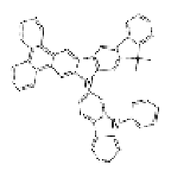 CC1(C)c2ccccc2-c2cc3c4cc5c6ccccc6c6ccccc6c5cc4n(-c4ccc5c6ccccc6n(-c6ccccc6)c5c4)c3cc21